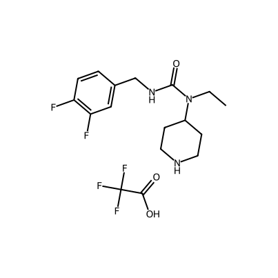 CCN(C(=O)NCc1ccc(F)c(F)c1)C1CCNCC1.O=C(O)C(F)(F)F